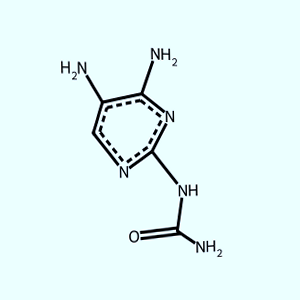 NC(=O)Nc1ncc(N)c(N)n1